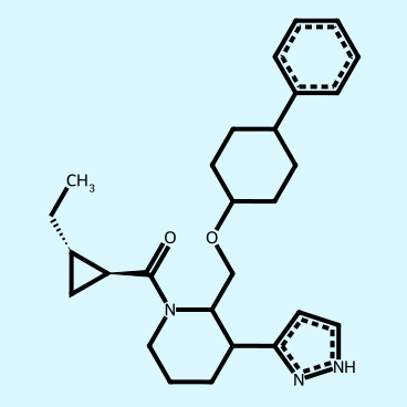 CC[C@H]1C[C@@H]1C(=O)N1CCCC(c2cc[nH]n2)C1COC1CCC(c2ccccc2)CC1